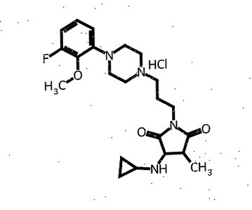 COc1c(F)cccc1N1CCN(CCCN2C(=O)C(C)C(NC3CC3)C2=O)CC1.Cl